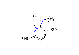 Cc1ccc(C=O)nc1N(C)C